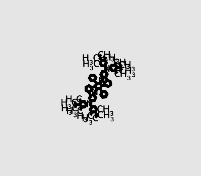 Cc1cc(N(c2cc(C)c(C(C)C)c(C)c2)c2ccc3c(c2)c2cccc4c5c(-c6ccccc6)c6c(c(-c7ccccc7)c5n3c24)c2cccc3c4cc(N(c5cc(C)c(C(C)C)c(C)c5)c5cc(C)c(C(C)C)c(C)c5)ccc4n6c32)cc(C)c1C(C)C